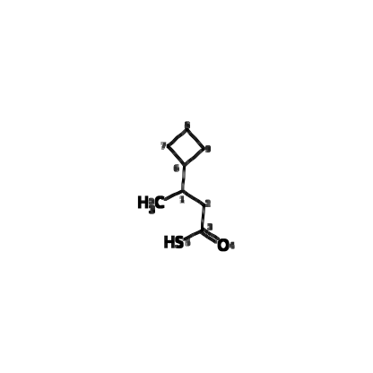 CC(CC(=O)S)C1CCC1